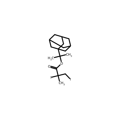 CC(I)(CI)C(=O)OC(C)(C)C12CC3CC(CC(C3)C1)C2